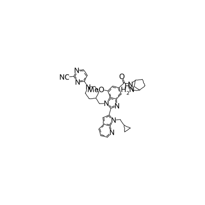 COc1cc(C(=O)N2CC3CCC2[C@@H]3N)cc2nc(-c3cc4cccnc4n3CC3CC3)n(CC3CCN(c4ccnc(C#N)n4)CC3)c12